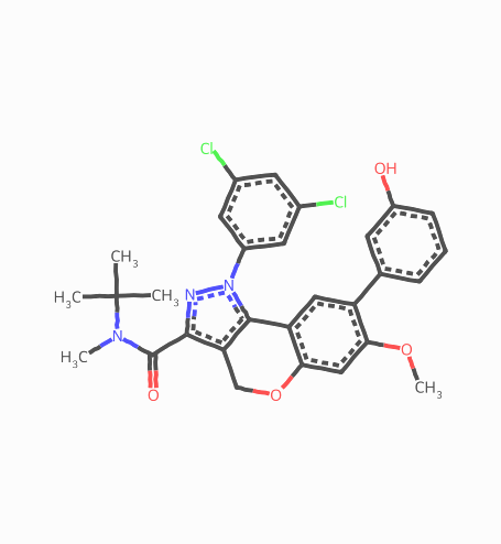 COc1cc2c(cc1-c1cccc(O)c1)-c1c(c(C(=O)N(C)C(C)(C)C)nn1-c1cc(Cl)cc(Cl)c1)CO2